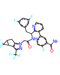 NC(=O)c1cc(-c2cccnc2C(Cc2cc(F)cc(F)c2)NC(=O)Cn2nc(C(F)(F)F)c3c2CC2C3C2(F)F)ccc1F